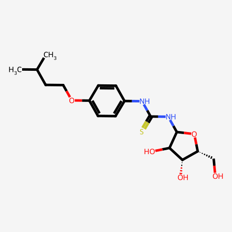 CC(C)CCOc1ccc(NC(=S)NC2O[C@H](CO)[C@H](O)C2O)cc1